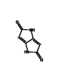 O=C1[C]=C2NC(=O)[C]=C2N1